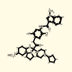 Cn1cc(C(=O)Nc2cc(F)c(CC(=O)C(OC3CCC(C(=O)O)CC3)(N3CCCC3)N3CCN(C4CCCC4)CC3)cc2Cl)c2ccccc21